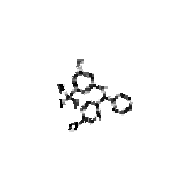 Fc1cc([CH]C(c2ccccc2)c2ccc(Cl)cn2)cc(C(F)(F)F)c1